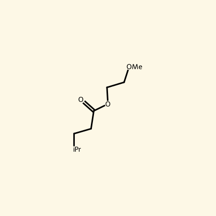 COCCOC(=O)CCC(C)C